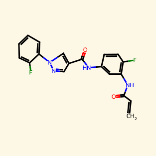 C=CC(=O)Nc1cc(NC(=O)c2cnn(-c3ccccc3F)c2)ccc1F